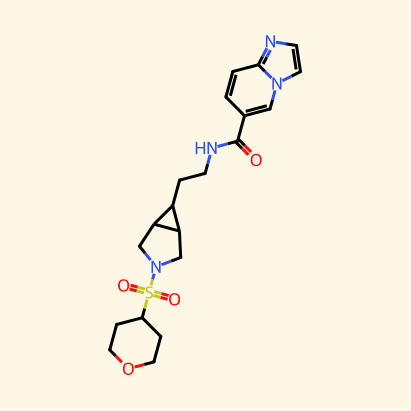 O=C(NCCC1C2CN(S(=O)(=O)C3CCOCC3)CC12)c1ccc2nccn2c1